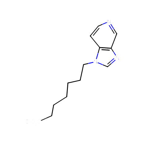 CCOC(=O)CCCCCCn1cnc2cnccc21